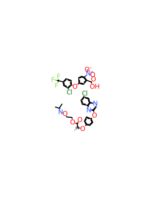 CC(C)=NOCCOC(=O)[C@@H](C)Oc1ccc(Oc2cnc3cc(Cl)ccc3n2)cc1.O=C(O)c1cc(Oc2ccc(C(F)(F)F)cc2Cl)ccc1[N+](=O)[O-]